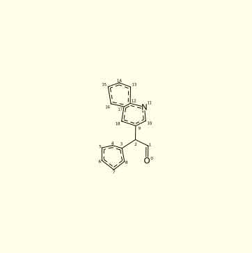 O=CC(c1ccccc1)c1cnc2ccccc2c1